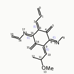 C=C/C=C1\C(=C)C(=N\C)/C(=C/C(C)OC)C(=C)\C1=N/C=C